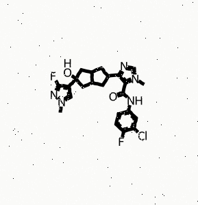 Cn1cc(C2(O)CC3CC(c4ncn(C)c4C(=O)Nc4ccc(F)c(Cl)c4)CC3C2)c(F)n1